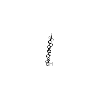 OOOOOOOOOOOOI